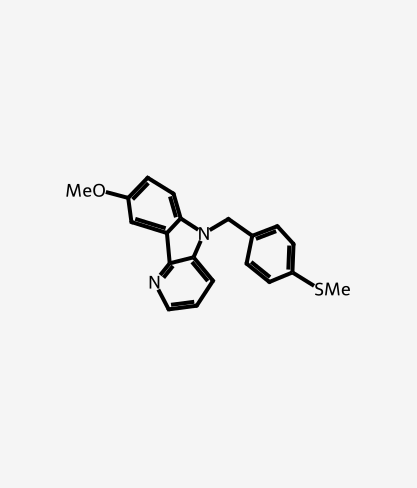 COc1ccc2c(c1)c1ncccc1n2Cc1ccc(SC)cc1